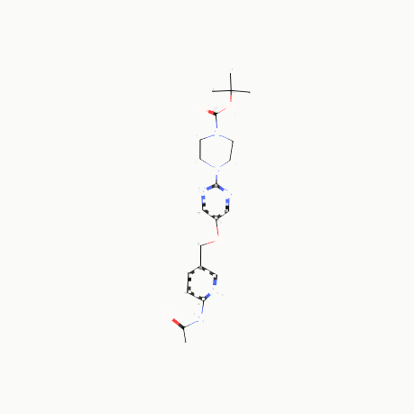 CC(=O)Nc1ccc(COc2cnc(N3CCN(C(=O)OC(C)(C)C)CC3)nc2)cn1